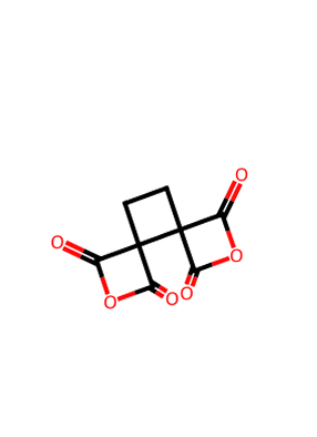 O=C1OC(=O)C12CCC21C(=O)OC1=O